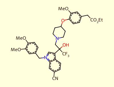 CCOC(=O)Cc1ccc(OC2CCN(CC(O)(c3cn(Cc4ccc(OC)c(OC)c4)c4cc(C#N)ccc34)C(F)(F)F)CC2)c(OC)c1